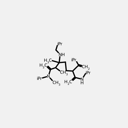 C=C(NC(C)C)C(CCC(C)(NCC(C)C)C(C)C(=C)N(C)C(C)C)C(=C)C(C)C